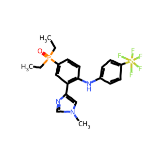 CCP(=O)(CC)c1ccc(Nc2ccc(S(F)(F)(F)(F)F)cc2)c(-c2cn(C)cn2)c1